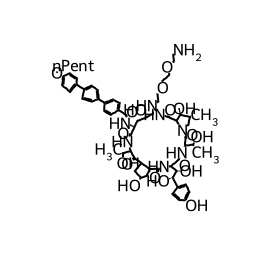 CCCCCOc1ccc(-c2ccc(-c3ccc(C(=O)N[C@H]4C[C@@H](O)C(NCCOCCOCCN)NC(=O)C5[C@@H](O)[C@@H](C)CN5C(=O)C([C@@H](C)O)NC(=O)C([C@H](O)[C@@H](O)c5ccc(O)cc5)NC(=O)C5C[C@@H](O)CC5C(=O)C([C@@H](C)O)NC4=O)cc3)cc2)cc1